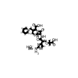 CC(C)(ON=C(C(=O)N[C@@H]1C(=O)N2C(C(=O)O)=C(C[n+]3ccccc3)CS[C@H]12)c1c[se]c(N)n1)C(=O)O.[Na].[OH-]